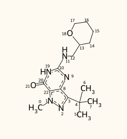 Cn1nc(C(C)(C)C)c2nc(NCC3CCCCO3)[nH]c(=O)c21